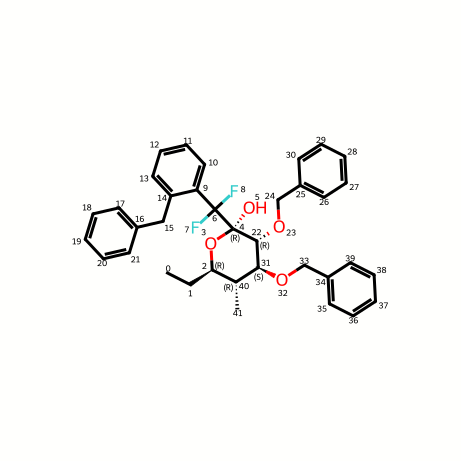 CC[C@H]1O[C@@](O)(C(F)(F)c2ccccc2Cc2ccccc2)[C@H](OCc2ccccc2)[C@@H](OCc2ccccc2)[C@@H]1C